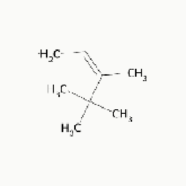 [CH2]C=C(C)C(C)(C)C